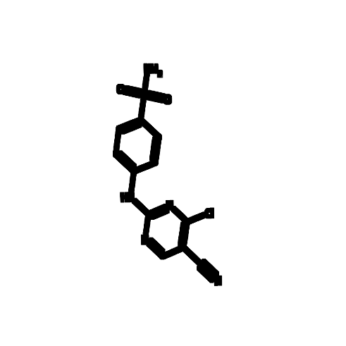 N#Cc1cnc(Nc2ccc(S(N)(=O)=O)cc2)nc1Cl